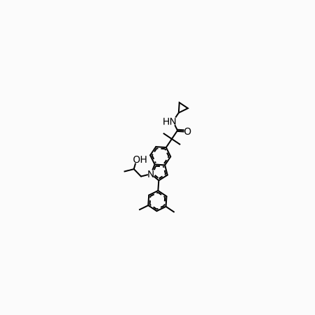 Cc1cc(C)cc(-c2cc3cc(C(C)(C)C(=O)NC4CC4)ccc3n2CC(C)O)c1